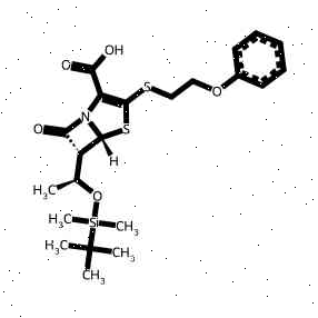 C[C@H](O[Si](C)(C)C(C)(C)C)[C@@H]1C(=O)N2C(C(=O)O)=C(SCCOc3ccccc3)S[C@H]12